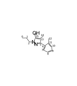 CCCn1nc(-c2ccccc2C)c(C)c1O